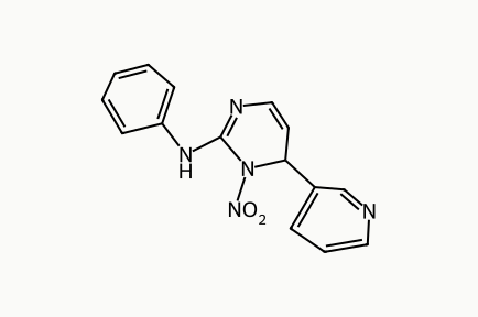 O=[N+]([O-])N1C(Nc2ccccc2)=NC=CC1c1cccnc1